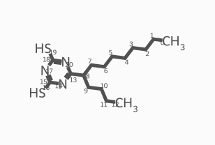 CCCCCCCCC(CCCC)c1nc(S)nc(S)n1